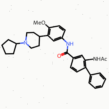 COc1ccc(NC(=O)c2ccc(-c3ccccc3)c(NC(C)=O)c2)cc1C1CCN(C2CCCC2)CC1